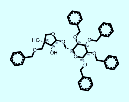 O[C@H]1[C@H](OC[C@H]2O[C@@H](OCc3ccccc3)[C@H](OCc3ccccc3)[C@@H](OCc3ccccc3)[C@@H]2OCc2ccccc2)OC[C@]1(O)COCc1ccccc1